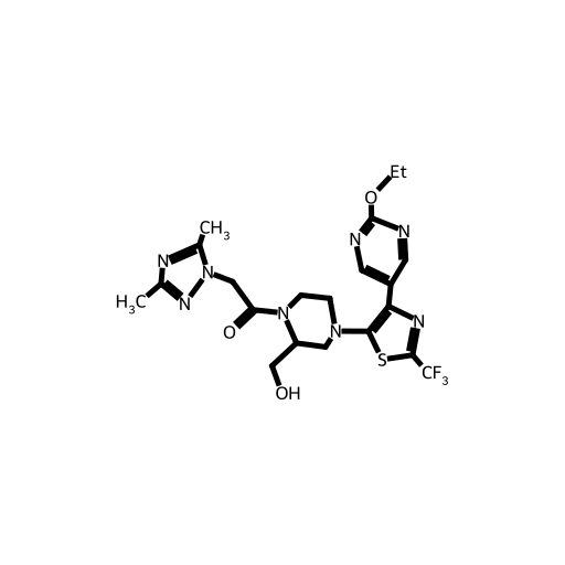 CCOc1ncc(-c2nc(C(F)(F)F)sc2N2CCN(C(=O)Cn3nc(C)nc3C)C(CO)C2)cn1